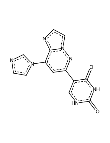 O=c1[nH]cc(-c2cc(-n3ccnc3)c3nccn3n2)c(=O)[nH]1